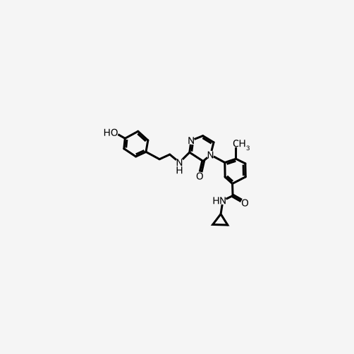 Cc1ccc(C(=O)NC2CC2)cc1-n1ccnc(NCCc2ccc(O)cc2)c1=O